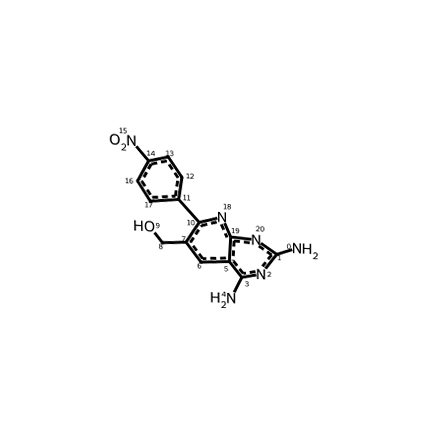 Nc1nc(N)c2cc(CO)c(-c3ccc([N+](=O)[O-])cc3)nc2n1